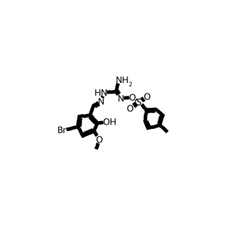 COc1cc(Br)cc(C=NNC(N)=NOS(=O)(=O)c2ccc(C)cc2)c1O